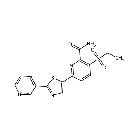 CCS(=O)(=O)c1ccc(-c2cnc(-c3cccnc3)s2)nc1C(N)=O